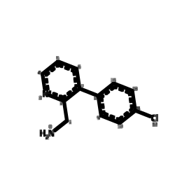 NCc1ncccc1-c1ccc(Cl)cc1